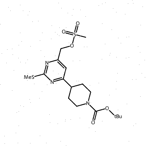 CSc1nc(COS(C)(=O)=O)cc(C2CCN(C(=O)OC(C)(C)C)CC2)n1